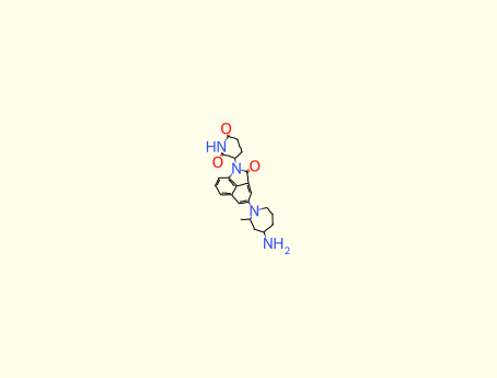 CC1CC(N)CCCN1c1cc2c3c(cccc3c1)N(C1CCC(=O)NC1=O)C2=O